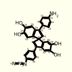 [N-]=[N+]=Nc1ccc(C2=CC3(C=C(c4ccc(N)cc4)c4cc(O)c(O)cc43)c3cc(O)c(O)cc32)cc1